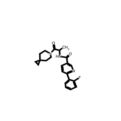 CC(NC(=O)c1ccc(-c2ccccc2F)nc1)C(=O)N1CCC2(CC1)CC2